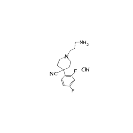 Cl.N#CC1(c2ccc(F)cc2F)CCN(CCCN)CC1